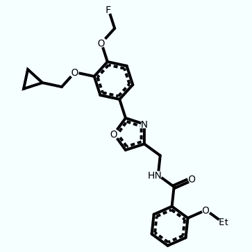 CCOc1ccccc1C(=O)NCc1coc(-c2ccc(OCF)c(OCC3CC3)c2)n1